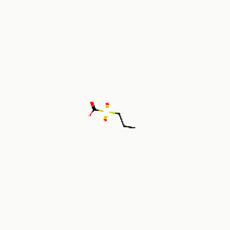 CCCS(=O)(=O)C(=O)O.[LiH]